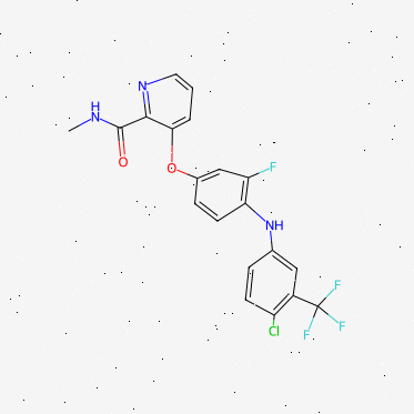 CNC(=O)c1ncccc1Oc1ccc(Nc2ccc(Cl)c(C(F)(F)F)c2)c(F)c1